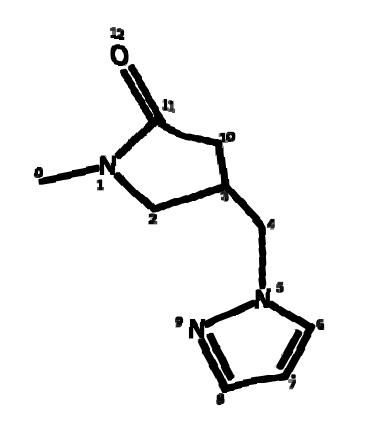 CN1CC(Cn2c[c]cn2)CC1=O